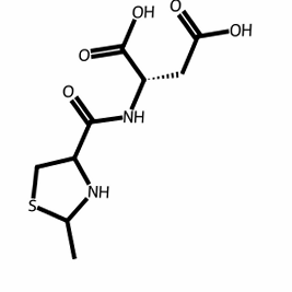 CC1NC(C(=O)N[C@@H](CC(=O)O)C(=O)O)CS1